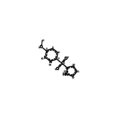 COc1ccc(S(=O)(=O)c2ccc[nH]2)nn1